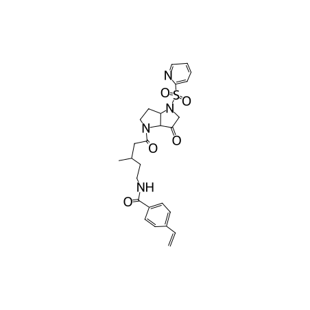 C=Cc1ccc(C(=O)NCCC(C)CC(=O)N2CCC3C2C(=O)CN3S(=O)(=O)c2ccccn2)cc1